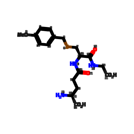 COc1ccc(CSC[C@H](NC(=O)CC[C@H](N)C(=O)O)C(=O)NCC(=O)O)cc1